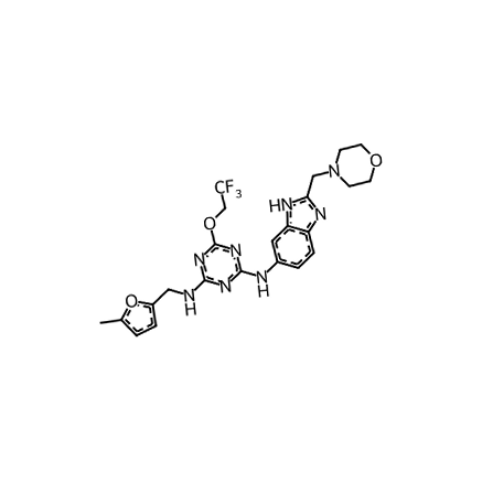 Cc1ccc(CNc2nc(Nc3ccc4nc(CN5CCOCC5)[nH]c4c3)nc(OCC(F)(F)F)n2)o1